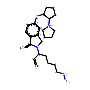 C=CC(CCCCNC)N1Cc2cc(NC3CCCC3N3CCCC3)ccc2C1=C